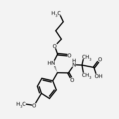 CCCCOC(=O)N[C@H](C(=O)NC(C)(C)C(=O)O)c1ccc(OC)cc1